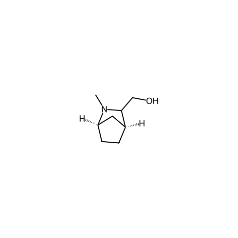 CN1C(CO)[C@H]2CC[C@@H]1C2